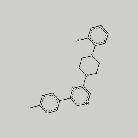 Cc1ccc(-c2cncc(N3CCN(c4ccccc4F)CC3)n2)cc1